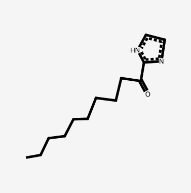 CCCCCCCCCC(=O)c1ncc[nH]1